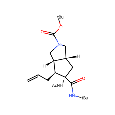 C=CC[C@H]1[C@@H]2CN(C(=O)OC(C)(C)C)C[C@@H]2C[C@@]1(NC(C)=O)C(=O)NC(C)(C)C